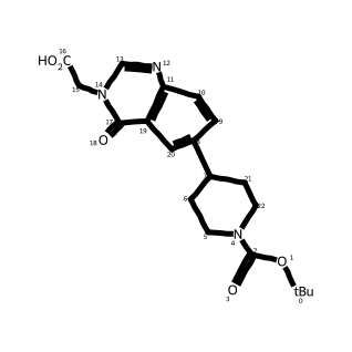 CC(C)(C)OC(=O)N1CCC(c2ccc3ncn(CC(=O)O)c(=O)c3c2)CC1